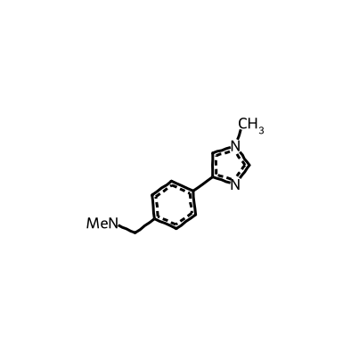 CNCc1ccc(-c2cn(C)cn2)cc1